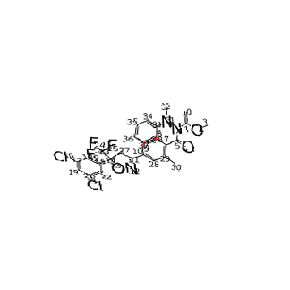 C=C(OC)N(C(=O)c1ccc(C2=NOC(c3cc(Cl)cc(Cl)c3)(C(F)(F)F)C2)cc1C)N(C)c1ccccc1